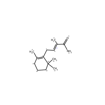 CC1=C(C/C=C(\C)C(N)=O)C(C)(C)CCC1